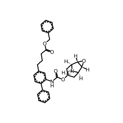 CN1[C@@H]2C[C@@H](OC(=O)Nc3cc(CCCC(=O)OCc4ccccc4)ccc3-c3ccccc3)C[C@H]1[C@@H]1O[C@@H]12